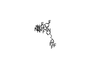 OC(Cn1cnnn1)(c1ccc(F)cc1F)C(F)(F)c1ccc(CCCOCC(F)(F)F)cn1